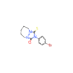 O=c1n(-c2ccc(Br)cc2)c(=S)n2n1CCCCC2